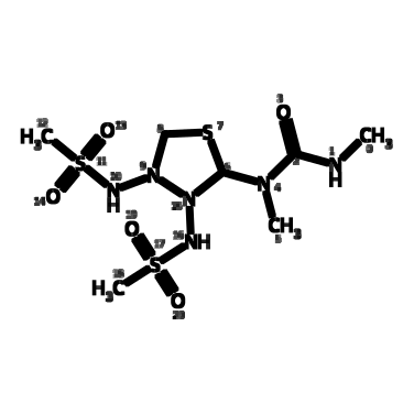 CNC(=O)N(C)C1SCN(NS(C)(=O)=O)N1NS(C)(=O)=O